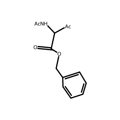 CC(=O)NC(C(C)=O)C(=O)OCc1ccccc1